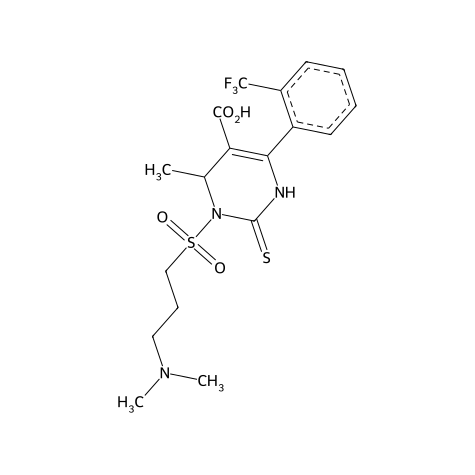 CC1C(C(=O)O)=C(c2ccccc2C(F)(F)F)NC(=S)N1S(=O)(=O)CCCN(C)C